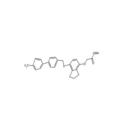 COC(=O)COc1ccc(SCc2ccc(-c3ccc(C(F)(F)F)cc3)cc2)c2c1CCC2